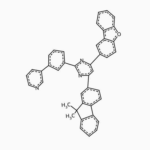 CC1(C)c2ccccc2-c2ccc(-c3cc(-c4ccc5oc6ccccc6c5c4)nc(-c4cccc(-c5cccnc5)c4)n3)cc21